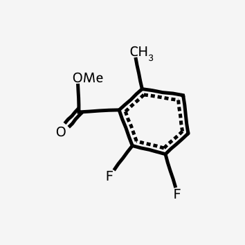 COC(=O)c1c(C)ccc(F)c1F